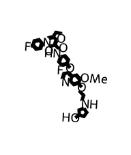 COc1cc2c(Oc3ccc(NC(=O)c4c5c(cn(-c6ccc(F)cc6)c4=O)CCO5)cc3F)ccnc2cc1OCCCNC1CCC(O)C1